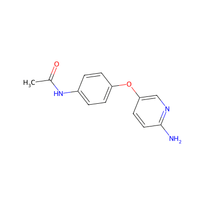 CC(=O)Nc1ccc(Oc2ccc(N)nc2)cc1